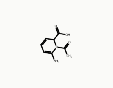 CC(=O)N1C(N)=CC=CC1C(=O)O